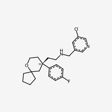 Fc1ccc([C@@]2(CCNCc3cncc(Cl)c3)CCOC3(CCCC3)C2)cc1